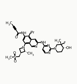 CC#CC(=O)Nc1cc(N2C[C@H](CS(C)(=O)=O)[C@H]2C)c2cnc(Nc3ccnc(N4CC[C@@H](O)[C@@](C)(F)C4)n3)cc2c1C(C)C